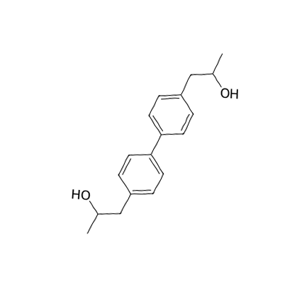 CC(O)Cc1ccc(-c2ccc(CC(C)O)cc2)cc1